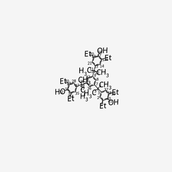 CCc1cc(C(C)(C)c2cc(C(C)(C)c3cc(CC)c(O)c(CC)c3)cc(C(C)(C)c3cc(CC)c(O)c(CC)c3)c2)cc(CC)c1O